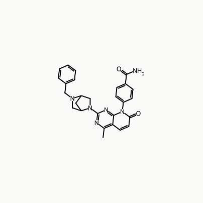 Cc1nc(N2CC3CC2CN3Cc2ccccc2)nc2c1ccc(=O)n2-c1ccc(C(N)=O)cc1